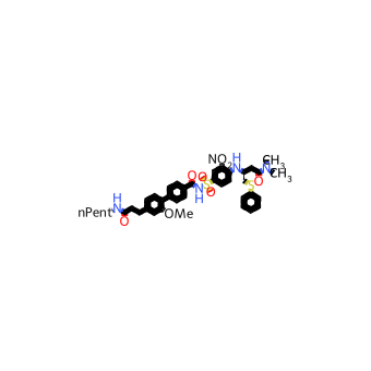 CCCCCNC(=O)CCc1ccc(-c2ccc(C(=O)NS(=O)(=O)c3ccc(N[C@@H](CSc4ccccc4)CC(=O)N(C)C)c([N+](=O)[O-])c3)cc2)c(OC)c1